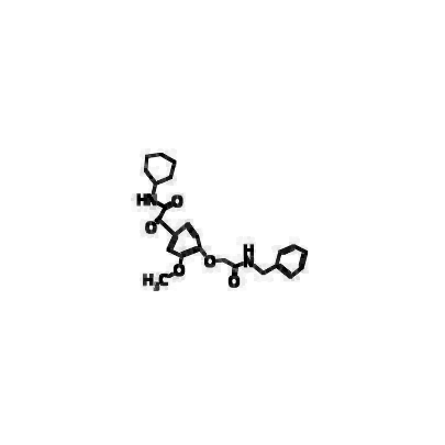 COc1cc(C(=O)C(=O)NC2CCCCC2)ccc1OCC(=O)NCc1ccccc1